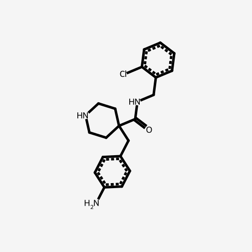 Nc1ccc(CC2(C(=O)NCc3ccccc3Cl)CCNCC2)cc1